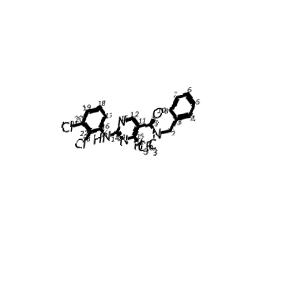 CN(Cc1ccccc1)C(=O)c1cnc(Nc2cccc(Cl)c2Cl)nc1C(F)(F)F